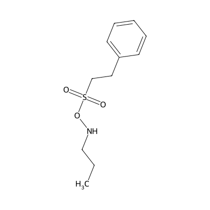 CCCNOS(=O)(=O)CCc1ccccc1